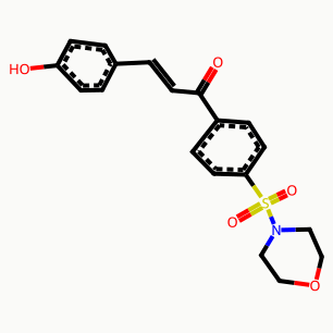 O=C(C=Cc1ccc(O)cc1)c1ccc(S(=O)(=O)N2CCOCC2)cc1